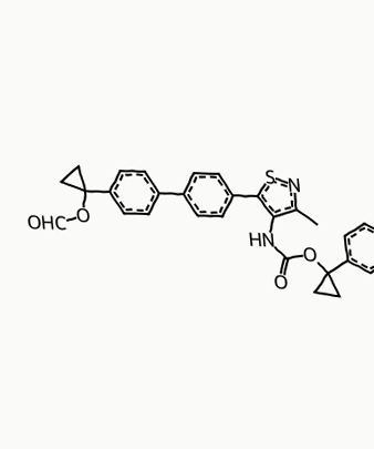 Cc1nsc(-c2ccc(-c3ccc(C4(OC=O)CC4)cc3)cc2)c1NC(=O)OC1(c2ccccc2)CC1